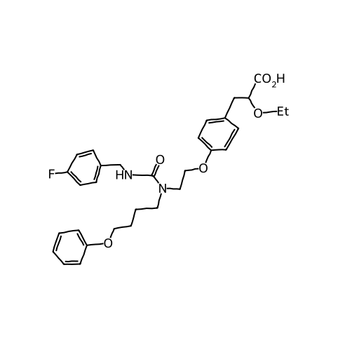 CCOC(Cc1ccc(OCCN(CCCCOc2ccccc2)C(=O)NCc2ccc(F)cc2)cc1)C(=O)O